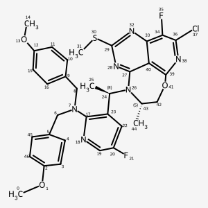 COc1ccc(CN(Cc2ccc(OC)cc2)c2ncc(F)cc2[C@@H](C)N2c3nc(SC)nc4c(F)c(Cl)nc(c34)OC[C@@H]2C)cc1